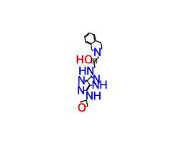 O[C@@H](CNc1n[nH]c2c(NC3COC3)ncnc12)CN1CCc2ccccc2C1